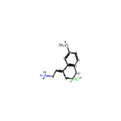 COc1ccc2c(c1)/C(=C/CN)CCC2.Cl